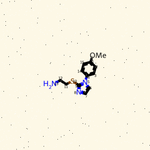 COc1ccc(-n2ccnc2SCCN)cc1